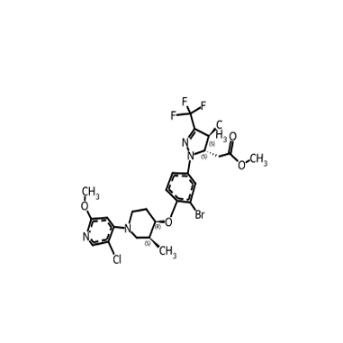 COC(=O)C[C@H]1[C@H](C)C(C(F)(F)F)=NN1c1ccc(O[C@@H]2CCN(c3cc(OC)ncc3Cl)C[C@@H]2C)c(Br)c1